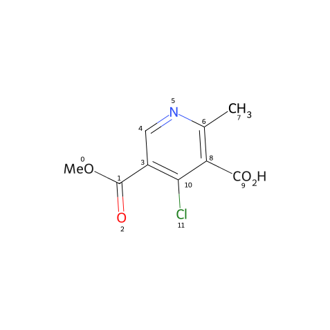 COC(=O)c1cnc(C)c(C(=O)O)c1Cl